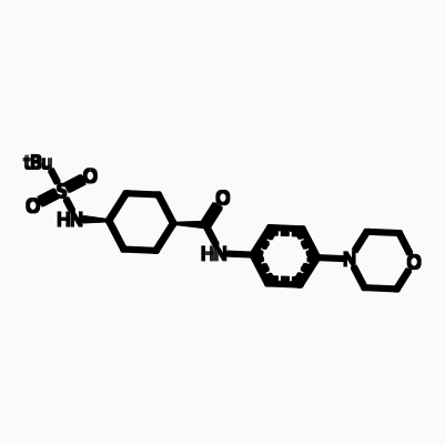 CC(C)(C)S(=O)(=O)N[C@H]1CC[C@@H](C(=O)Nc2ccc(N3CCOCC3)cc2)CC1